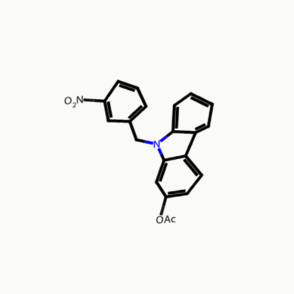 CC(=O)Oc1ccc2c3ccccc3n(Cc3cccc([N+](=O)[O-])c3)c2c1